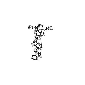 [C-]#[N+]CCOP(OC1C[C@H](n2cnc3c(On4nnc5ccccc54)ncnc32)O[C@@H]1CC)N(C(C)C)C(C)C